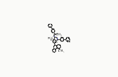 C=C(/N=C(\C=C(/C)c1ccc(-c2cccnc2)cc1)C1(C)C=CC(c2cc3ccccc3c3c2C=CCC3C)=CC1)c1ccc(-c2ccccc2)cc1